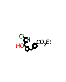 CCOC(=O)c1ccc(CC2CC[C@H]([C@H](O)c3cncc(Cl)c3)C2)cc1